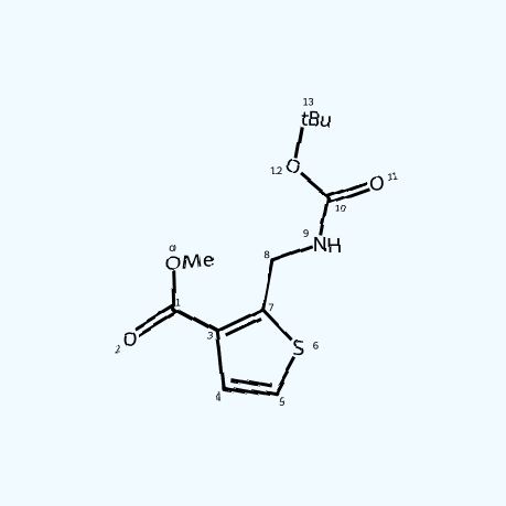 COC(=O)c1ccsc1CNC(=O)OC(C)(C)C